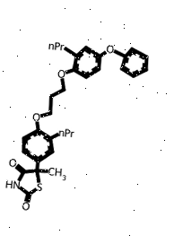 CCCc1cc(Oc2ccccc2)ccc1OCCCOc1ccc(C2(C)SC(=O)NC2=O)cc1CCC